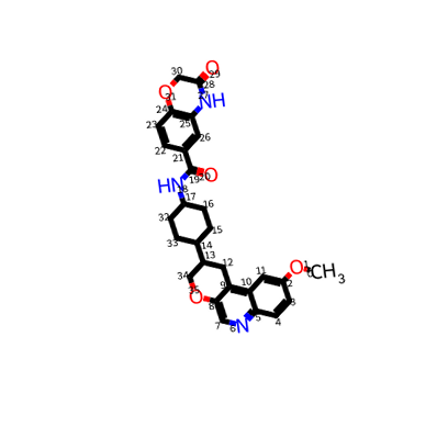 COc1ccc2ncc3c(c2c1)CC(C1CCC(NC(=O)c2ccc4c(c2)NC(=O)CO4)CC1)CO3